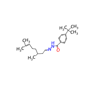 CC(C)=CCCC(C)CC=NNC(=O)c1ccc(C(C)(C)C)cc1